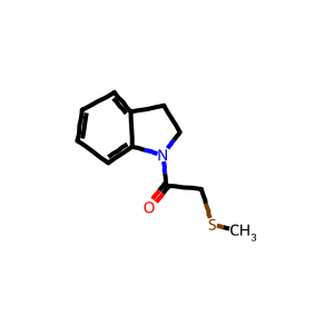 CSCC(=O)N1CCc2ccccc21